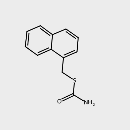 NC(=O)SCc1cccc2ccccc12